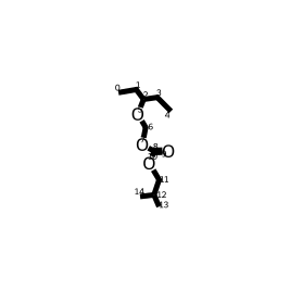 CCC(CC)OCOC(=O)OCC(C)C